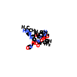 C=C[C@@H]1C[C@]1(NC(=O)[C@@H]1C[C@@H](Oc2cc(-n3ccc(NC(C)C)n3)nc3cc(OCCN4CCOCC4)ccc23)CN1C(=O)[C@@H](NC(=O)OC1C[C@@H]2C[C@@H]2C1)C(C)(C)C)C(=O)O